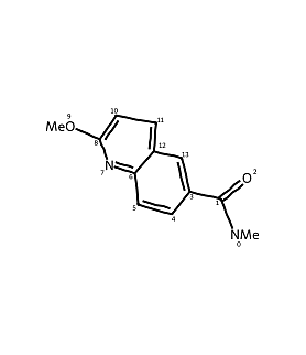 CNC(=O)c1ccc2nc(OC)ccc2c1